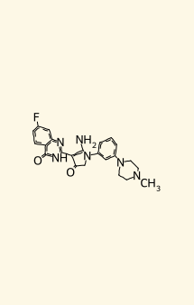 CN1CCN(c2cccc(N3CC(=O)C(c4nc5cc(F)ccc5c(=O)[nH]4)=C3N)c2)CC1